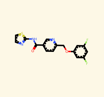 O=C(Nc1nccs1)c1ccc(COc2cc(F)cc(F)c2)nc1